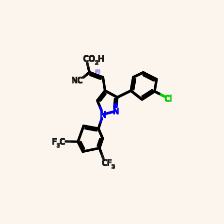 N#C/C(=C\c1cn(-c2cc(C(F)(F)F)cc(C(F)(F)F)c2)nc1-c1cccc(Cl)c1)C(=O)O